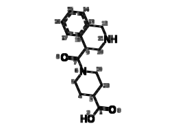 O=C(O)C1CCN(C(=O)C2CNCc3ccccc32)CC1